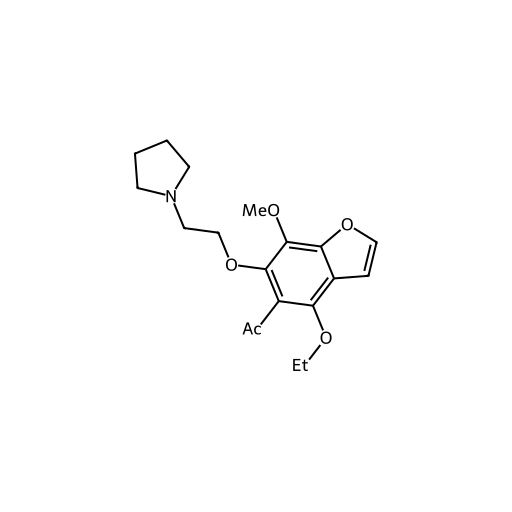 CCOc1c(C(C)=O)c(OCCN2CCCC2)c(OC)c2occc12